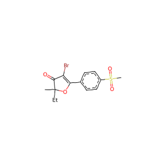 CCC1(C)OC(c2ccc(S(C)(=O)=O)cc2)=C(Br)C1=O